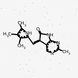 Cc1ncc2c(n1)NC(=O)C2=Cc1[nH]c(C)c(C)c1C